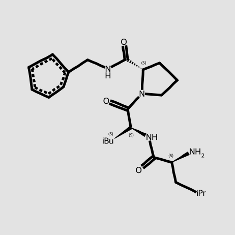 CC[C@H](C)[C@H](NC(=O)[C@@H](N)CC(C)C)C(=O)N1CCC[C@H]1C(=O)NCc1ccccc1